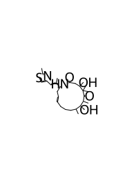 C/C(=C\c1csc(C)n1)[C@@H]1C/C=C/CCCC(C)[C@H](O)C(C)C(=O)C(C)(C)C(O)CC(=O)N1